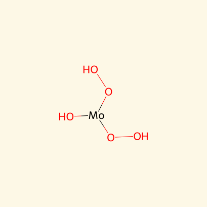 O[O][Mo]([OH])[O]O